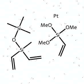 C=C[Si](C)(C=C)O[Si](C)(C)C.C=C[Si](OC)(OC)OC.[Pt]